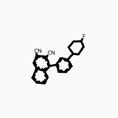 N#Cc1cc2ccccc2c(-c2cccc(C3CCC(F)CC3)c2)c1C#N